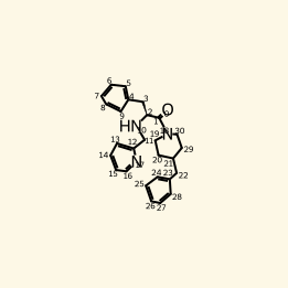 O=C([C@H](Cc1ccccc1)NCc1ccccn1)N1CCC(Cc2ccccc2)CC1